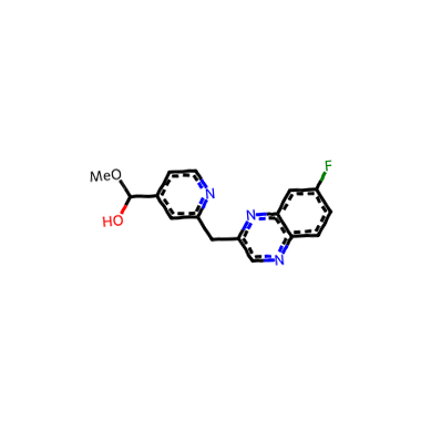 COC(O)c1ccnc(Cc2cnc3ccc(F)cc3n2)c1